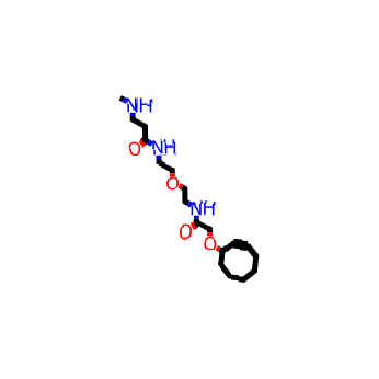 CNCCC(=O)NCCOCCNC(=O)COC1C#CCCCCC1